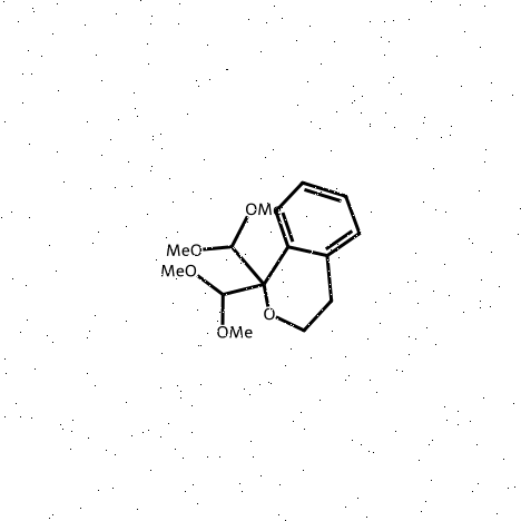 COC(OC)C1(C(OC)OC)OCCc2ccccc21